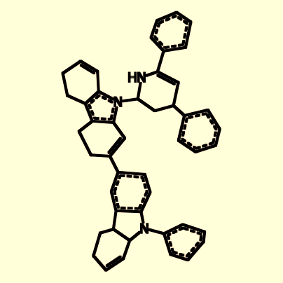 C1=Cc2c(c3c(n2C2CC(c4ccccc4)C=C(c4ccccc4)N2)C=C(c2ccc4c(c2)C2CCC=CC2N4c2ccccc2)CC3)CC1